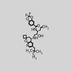 C=CC[C@H](NC(=O)c1ccc2c(c1)OC(F)(F)O2)[C@H](O)CN[C@H]1CC2(CCC2)Oc2ncc(CC(C)(C)C)cc21